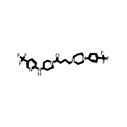 O=C(CCCN1CCCN(c2ccc(C(F)(F)F)cc2)CC1)N1CCC(Nc2ccc(C(F)(F)F)cn2)CC1